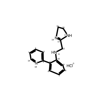 Cl.c1ccc(-c2ccccc2NCC2=NCCN2)nc1